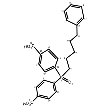 O=C(O)c1ccc(P(=O)(CCCCCc2ccccc2)c2ccc(C(=O)O)cc2)cc1